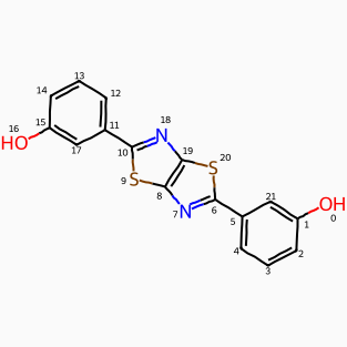 Oc1cccc(-c2nc3sc(-c4cccc(O)c4)nc3s2)c1